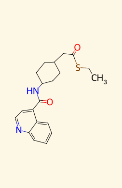 CCSC(=O)CC1CCC(NC(=O)c2ccnc3ccccc23)CC1